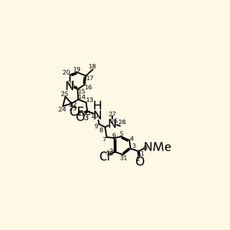 CNC(=O)c1ccc(CC(CNC(=O)CC(c2cc(C)ccn2)C2(C(F)(F)F)CC2)N(C)C)c(Cl)c1